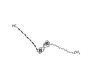 C#CC#CC#CC#CC#CC#CC#CC#CC#COP1(=O)OCC2(CO1)COP(=O)(OCCCCCCCCCCCCCCCCCC)OC2